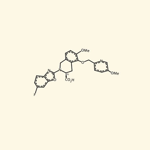 COc1ccc(COc2c(OC)ccc3c2C[C@@H](C(=O)O)N(c2nc4ccc(F)cc4o2)C3)nc1